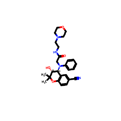 CC1(C)Oc2ccc(C#N)cc2[C@H](N(CC(=O)NCCN2CCOCC2)c2ccccc2)[C@H]1O